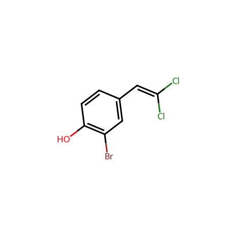 Oc1ccc(C=C(Cl)Cl)cc1Br